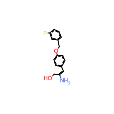 N/C(=C/c1ccc(OCc2cccc(F)c2)cc1)CO